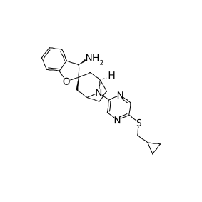 N[C@@H]1c2ccccc2O[C@]12CC1CC[C@H](C2)N1c1cnc(SCC2CC2)cn1